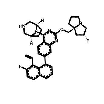 C=Cc1c(F)ccc2cccc(-c3ccc4c(N5[C@@H]6CC[C@H]5CNC6)nc(OC[C@@]56CCCN5C[C@H](F)C6)nc4c3)c12